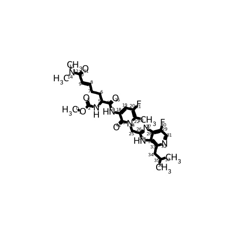 COC(=O)NC(CCC=CC(=O)N(C)C)C(=O)Nc1cc(F)c(C)n(Cc2nc3c(F)cnc(CC(C)C)c3[nH]2)c1=O